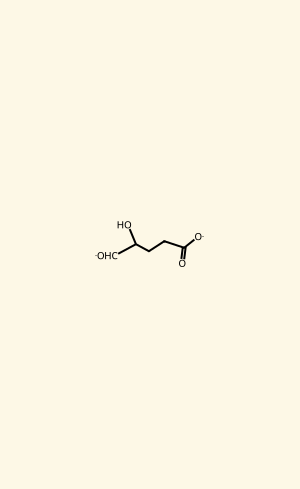 [O]C(=O)CCC(O)[C]=O